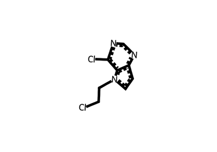 ClCCn1ccc2ncnc(Cl)c21